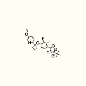 CCOc1ccc(C2(Oc3ccc(C(=O)NS(=O)(=O)C(C)(C)C)c(F)c3F)CCC2)nc1